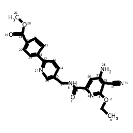 CCOc1nc(C(=O)NCc2ccc(-c3ccc(C(=O)OC)cc3)nc2)cc(N)c1C#N